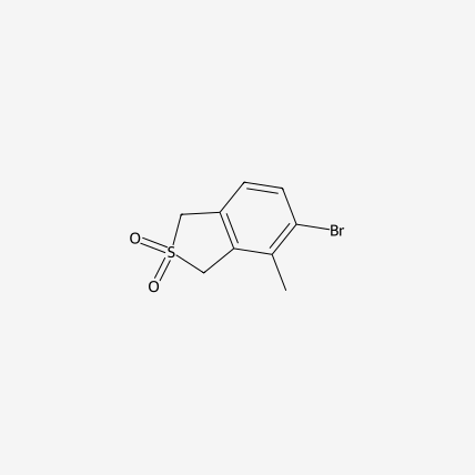 Cc1c(Br)ccc2c1CS(=O)(=O)C2